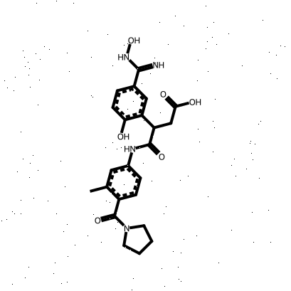 Cc1cc(NC(=O)C(CC(=O)O)c2cc(C(=N)NO)ccc2O)ccc1C(=O)N1CCCC1